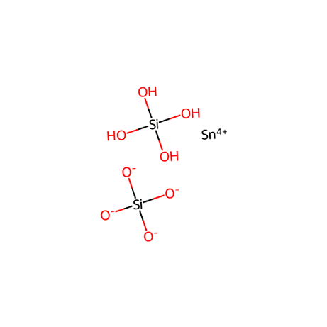 O[Si](O)(O)O.[O-][Si]([O-])([O-])[O-].[Sn+4]